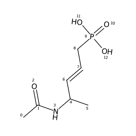 CC(=O)NC(C)C=CCP(=O)(O)O